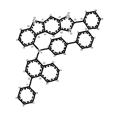 c1ccc(-c2ccc(N(c3ccc(-c4ccccc4)c4ccccc34)c3cccc4oc5cc6oc(-c7ccccc7)nc6cc5c34)cc2)cc1